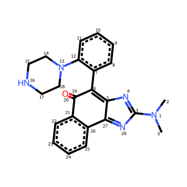 CN(C)C1=NC2=C(c3ccccc3N3CCNCC3)C(=O)c3ccccc3C2=N1